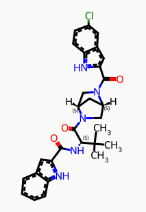 CC(C)(C)[C@H](NC(=O)c1cc2ccccc2[nH]1)C(=O)N1C[C@@H]2C[C@H]1CN2C(=O)c1cc2cc(Cl)ccc2[nH]1